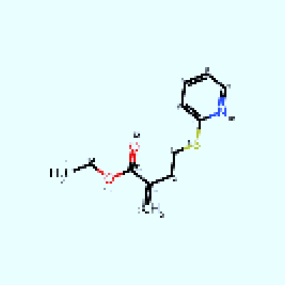 C=C(CCSc1ccccn1)C(=O)OCC